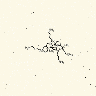 CNCCC[C@H](C)C1CC[C@H]2C3[C@H](OCCCN)CC4C[C@H](OCCCN)CC[C@]4(C)[C@H]3C[C@H](OCCCN)[C@]12C